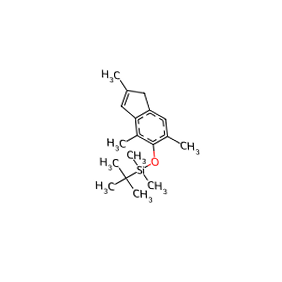 CC1=Cc2c(cc(C)c(O[Si](C)(C)C(C)(C)C)c2C)C1